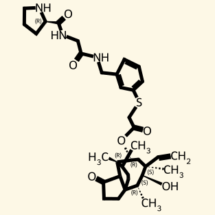 C=C[C@]1(C)C[C@@H](OC(=O)CSc2cccc(CNC(=O)CNC(=O)[C@H]3CCCN3)c2)[C@]2(C)C(C)CCC3(CCC(=O)C32)[C@@H](C)[C@@H]1O